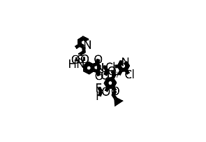 Cc1cccnc1CCS(=O)(=O)Nc1ccc2c(c1)C(=O)N(CC(=O)O[C@@H](Cc1c(Cl)cncc1Cl)c1ccc(OC(F)F)c(OCC3CC3)c1)C2=O